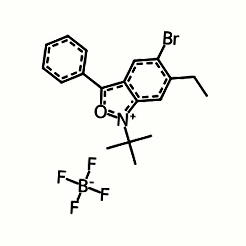 CCc1cc2c(cc1Br)c(-c1ccccc1)o[n+]2C(C)(C)C.F[B-](F)(F)F